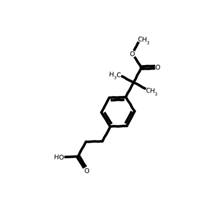 COC(=O)C(C)(C)c1ccc(CCC(=O)O)cc1